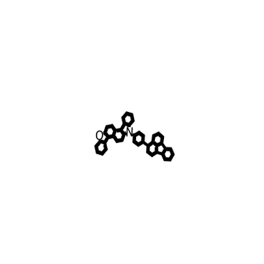 c1ccc2c(c1)-c1cccc3c(-c4ccc(-n5c6ccccc6c6c7ccc8oc9ccccc9c8c7ccc65)cc4)ccc-2c13